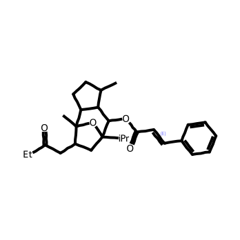 CCC(=O)CC1CC2(C(C)C)OC1(C)C1CCC(C)C1C2OC(=O)/C=C/c1ccccc1